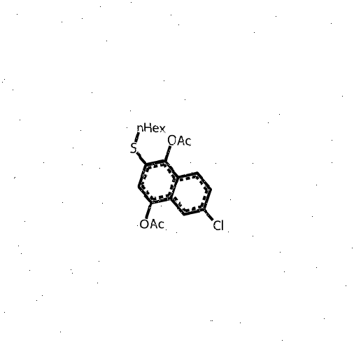 CCCCCCSc1cc(OC(C)=O)c2cc(Cl)ccc2c1OC(C)=O